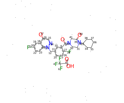 O=C(O)C(F)(F)F.O=C(c1cc(Cn2ncc(=O)c3cc(F)ccc32)ccc1F)N1CCN(C2CCCCC2)C(=O)C1